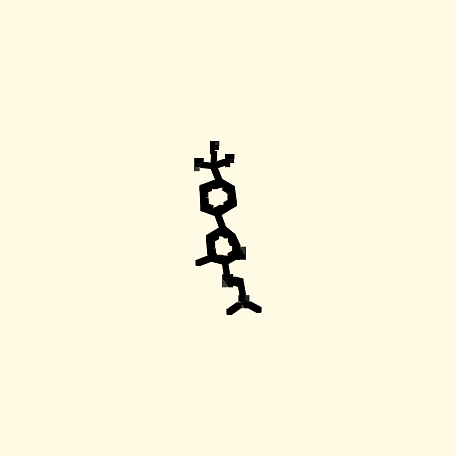 Cc1cc(-c2ccc(C(F)(F)F)cc2)cnc1N=CN(C)C